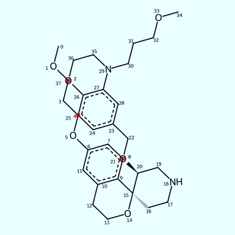 COCCCOc1ccc2c(c1)CCO[C@@]21CCNC[C@@H]1OCc1ccc2c(c1)N(CCCOC)CCO2